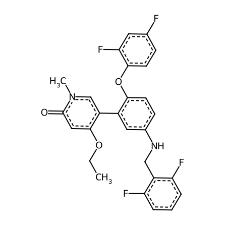 CCOc1cc(=O)n(C)cc1-c1cc(NCc2c(F)cccc2F)ccc1Oc1ccc(F)cc1F